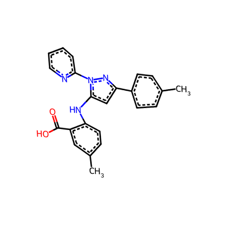 Cc1ccc(-c2cc(Nc3ccc(C)cc3C(=O)O)n(-c3ccccn3)n2)cc1